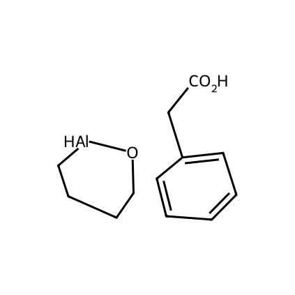 C1C[CH2][AlH][O]C1.O=C(O)Cc1ccccc1